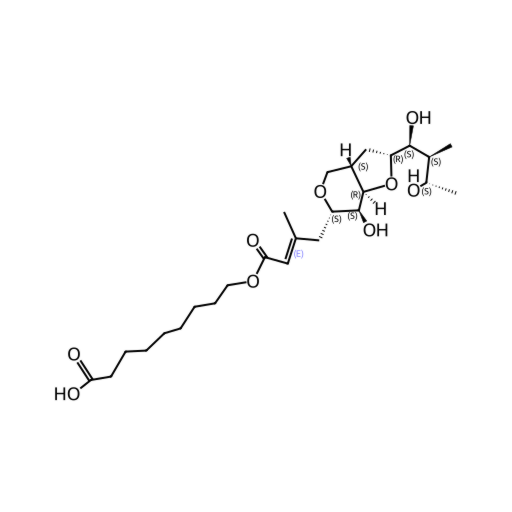 C/C(=C\C(=O)OCCCCCCCCC(=O)O)C[C@@H]1OC[C@@H]2C[C@H]([C@@H](O)[C@@H](C)[C@H](C)O)O[C@H]2[C@H]1O